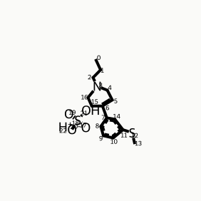 CCCN1CC=C(c2cccc(SC)c2)CC1.O=S(=O)([O-])O.[H+]